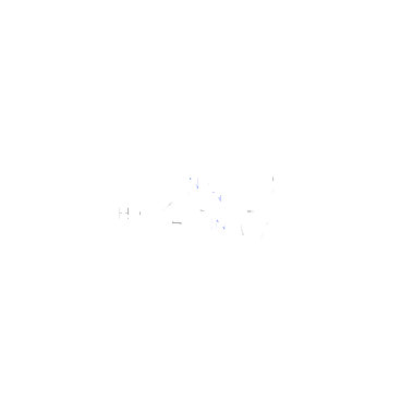 C#Cc1cccc(Nc2ncnc3cc(C)ccc23)c1